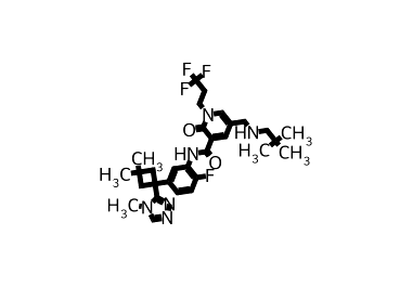 Cn1cnnc1C1(c2ccc(F)c(NC(=O)c3cc(CNCC(C)(C)C)cn(CCC(F)(F)F)c3=O)c2)CC(C)(C)C1